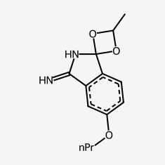 CCCOc1ccc2c(c1)C(=N)NC21OC(C)O1